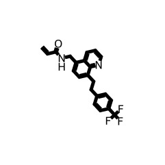 C=CC(=O)NCc1ccc(CCc2ccc(C(F)(F)F)cc2)c2ncccc12